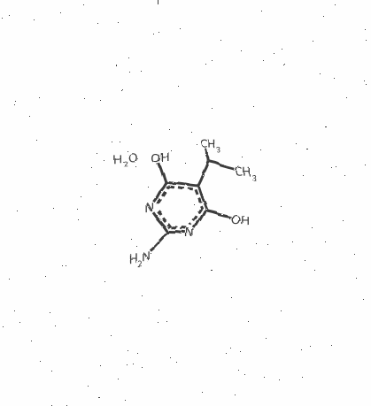 CC(C)c1c(O)nc(N)nc1O.O